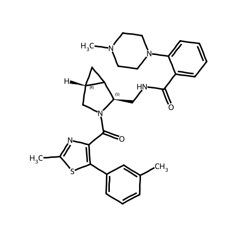 Cc1cccc(-c2sc(C)nc2C(=O)N2C[C@@H]3CC3[C@H]2CNC(=O)c2ccccc2N2CCN(C)CC2)c1